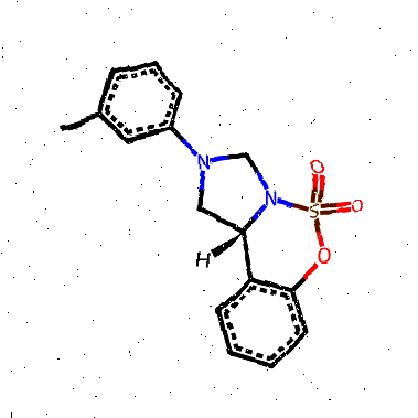 Cc1cccc(N2C[C@H]3c4ccccc4OS(=O)(=O)N3C2)c1